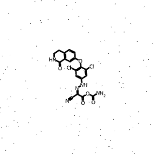 N#CC(=NNc1cc(Cl)c(Oc2ccc3c(c2)C(=O)NCC3)c(Cl)c1)C(=O)OC(N)=O